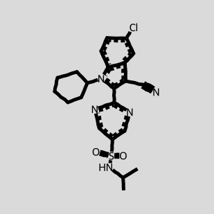 CC(C)NS(=O)(=O)c1cnc(-c2c(C#N)c3cc(Cl)ccc3n2C2CCCCC2)nc1